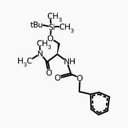 CN(C)C(=O)[C@@H](CO[Si](C)(C)C(C)(C)C)NC(=O)OCc1ccccc1